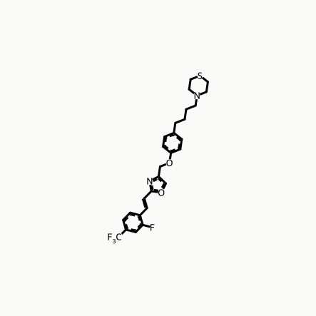 Fc1cc(C(F)(F)F)ccc1C=Cc1nc(COc2ccc(CCCCN3CCSCC3)cc2)co1